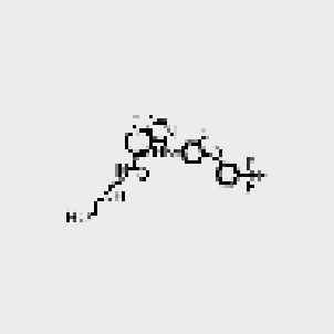 O=C(NCCNCCO)C1=Cc2c(ncnc2Nc2ccc(Oc3cccc(C(F)(F)F)c3)c(Cl)c2)NCC1